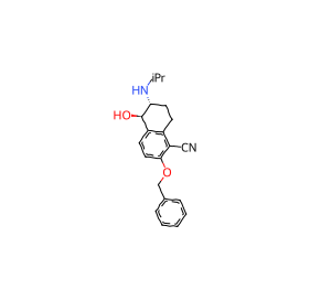 CC(C)N[C@@H]1CCc2c(ccc(OCc3ccccc3)c2C#N)[C@H]1O